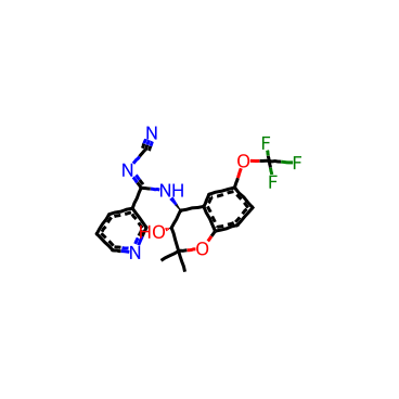 CC1(C)Oc2ccc(OC(F)(F)F)cc2[C@H](N/C(=N\C#N)c2cccnc2)[C@H]1O